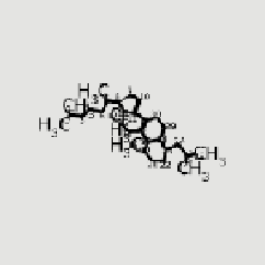 CC(C)CCC[C@@H](C)[C@H]1CC=C2C3=C(CC[C@@]21C)[C@@]1(C)CCCC(CC(C)C)C1CC3